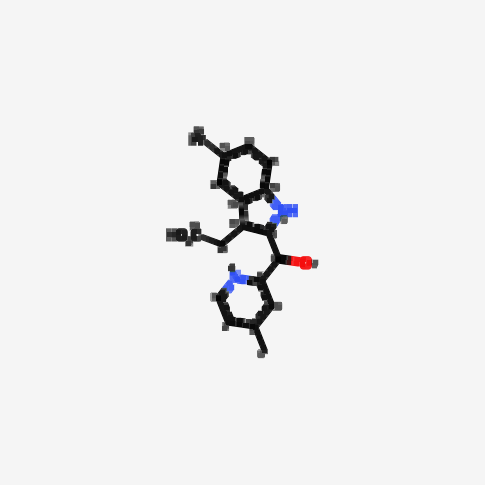 Cc1ccnc(C(=O)c2[nH]c3ccc(C(C)C)cc3c2CC(=O)O)c1